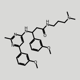 COc1cccc(-c2cc(NC(CC(=O)NCCCN(C)C)c3cccc(OC)c3)nc(C)n2)c1